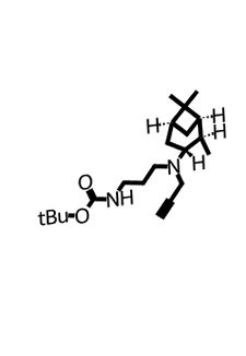 C#CCN(CCCNC(=O)OC(C)(C)C)[C@@H]1C[C@@H]2C[C@H]([C@H]1C)C2(C)C